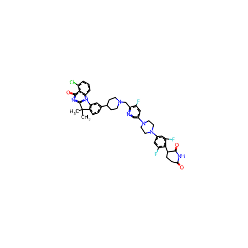 CC1(C)c2ccc(C3CCN(Cc4ncc(N5CCN(c6cc(F)c(C7CCC(=O)NC7=O)c(F)c6)CC5)cc4F)CC3)cc2-n2c1nc(=O)c1c(Cl)cccc12